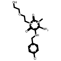 Cn1c(N)c(NCc2ccc(Cl)cc2)c(=O)n(CCOCCO)c1=O